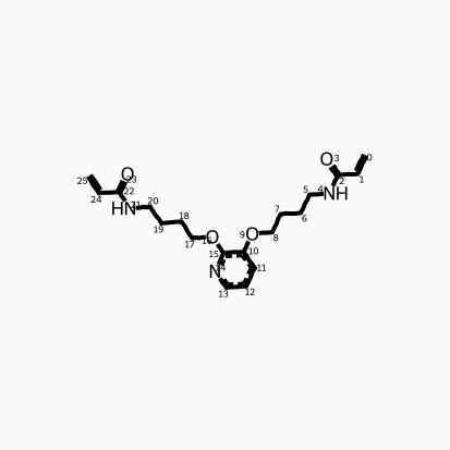 C=CC(=O)NCCCCOc1cccnc1OCCCCNC(=O)C=C